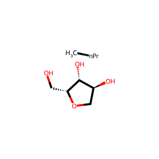 CCCC.OC[C@H]1OC[C@H](O)[C@H]1O